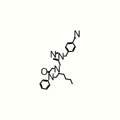 CCCCC1CN(c2ccccc2)C(=O)CN1Cc1cncn1Cc1ccc(C#N)cc1